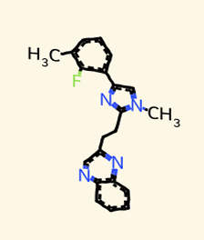 Cc1cccc(-c2cn(C)c(CCc3cnc4ccccc4n3)n2)c1F